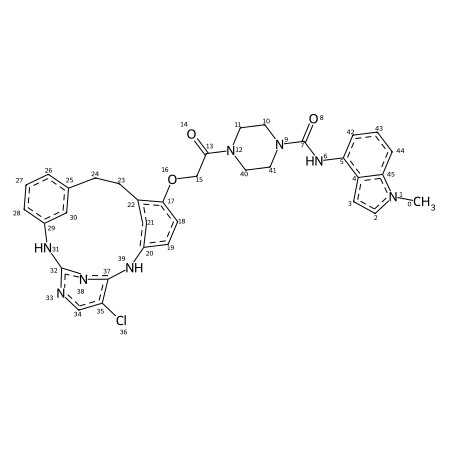 Cn1ccc2c(NC(=O)N3CCN(C(=O)COc4ccc5cc4CCc4cccc(c4)Nc4ncc(Cl)c(n4)N5)CC3)cccc21